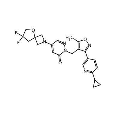 Cc1onc(-c2ccc(C3CC3)nc2)c1Cn1ncc(N2CC3(C2)CC(F)(F)CO3)cc1=O